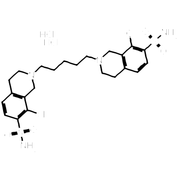 Cl.Cl.NS(=O)(=O)c1ccc2c(c1Cl)CN(CCCCCN1CCc3ccc(S(N)(=O)=O)c(Cl)c3C1)CC2